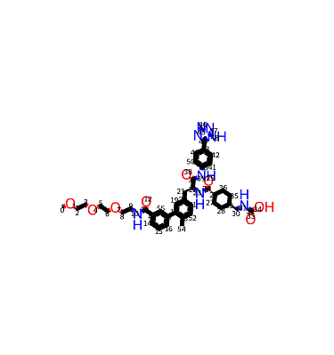 COCCOCCOCCNC(=O)c1cccc(-c2cc(C[C@H](NC(=O)[C@H]3CC[C@H](CNC(=O)O)CC3)C(=O)Nc3ccc(-c4nnn[nH]4)cc3)ccc2C)c1